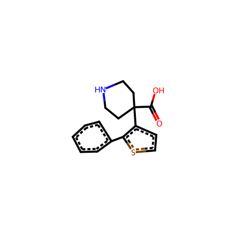 O=C(O)C1(c2ccsc2-c2ccccc2)CCNCC1